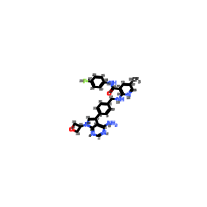 Nc1ncnc2c1c(-c1ccc(CNc3ncc(C(F)(F)F)cc3C(=O)Nc3ccc(F)cc3)cc1)cn2C1COC1